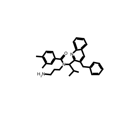 Cc1ccc(C(=O)N(CCCN)C(c2nc3ccccc3cc2Cc2ccccc2)C(C)C)cc1C